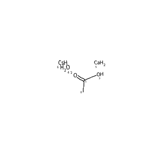 CC(=O)O.O.[CaH2].[CsH]